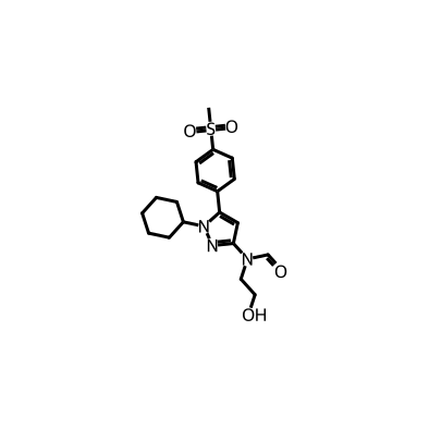 CS(=O)(=O)c1ccc(-c2cc(N(C=O)CCO)nn2C2CCCCC2)cc1